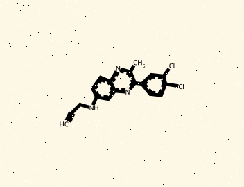 C#CCNc1ccc2nc(C)c(-c3ccc(Cl)c(Cl)c3)nc2c1